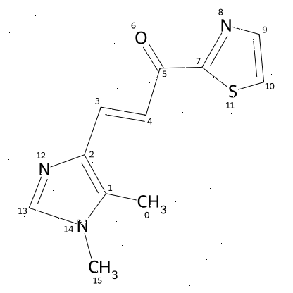 Cc1c(/C=C/C(=O)c2nccs2)ncn1C